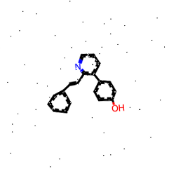 Oc1ccc(-c2cccnc2C=Cc2ccccc2)cc1